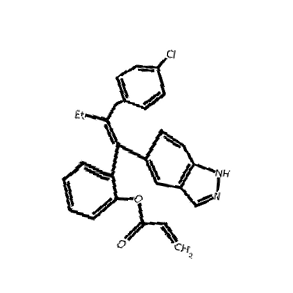 C=CC(=O)Oc1ccccc1/C(=C(\CC)c1ccc(Cl)cc1)c1ccc2[nH]ncc2c1